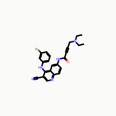 CCN(CC)CC#CC(=O)Nc1ccc2ncc(C#N)c(Nc3cccc(Br)c3)c2c1